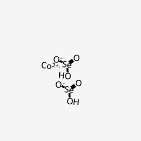 O=[Se]([O-])O.O=[Se]([O-])O.[Co+2]